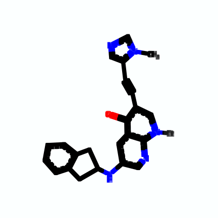 CCn1cc(C#Cc2cncn2C)c(=O)c2cc(NC3Cc4ccccc4C3)cnc21